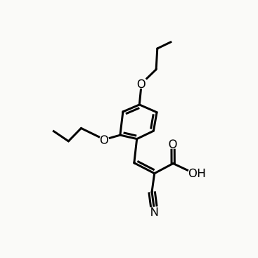 CCCOc1ccc(C=C(C#N)C(=O)O)c(OCCC)c1